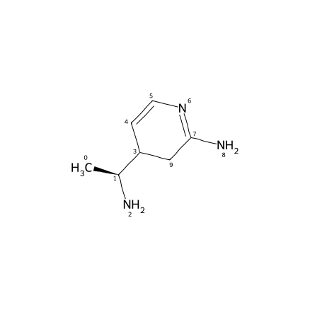 C[C@H](N)C1C=CN=C(N)C1